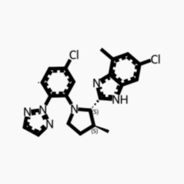 Cc1cc(Cl)cc2[nH]c([C@@H]3[C@@H](C)CCN3c3cc(Cl)c[c]c3-n3nccn3)nc12